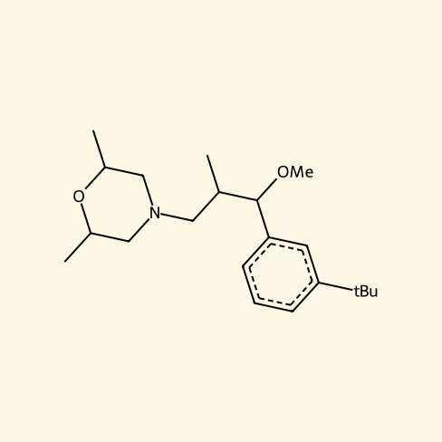 COC(c1cccc(C(C)(C)C)c1)C(C)CN1CC(C)OC(C)C1